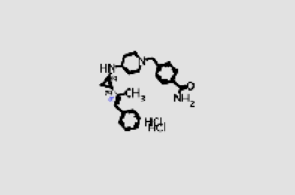 C/C(=C\c1ccccc1)[C@@H]1C[C@H]1NC1CCN(Cc2ccc(C(N)=O)cc2)CC1.Cl.Cl